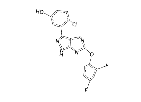 Oc1ccc(Cl)c(-c2n[nH]c3nc(Oc4ccc(F)cc4F)ncc23)c1